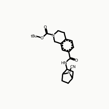 CC(C)(C)OC(=O)N1CCc2ccc(C(=O)NC3CC4CCC3N4C#N)cc2C1